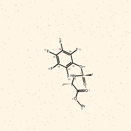 CC(C)OC(=O)[C@H](C)N[P@@](C)(=O)Oc1c(F)c(F)c(F)c(F)c1F